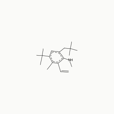 C=Cc1c(C)c(C(C)(C)C)cc(CC(C)(C)C)c1NC